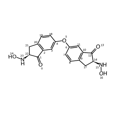 O=C1c2cc(Oc3ccc4c(c3)C(=O)[C@@H](NO)C4)ccc2C[C@@H]1NO